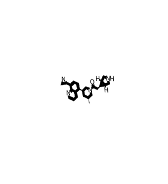 C[C@@H]1C[C@@H](c2ccc(C3C=N3)c3ncccc23)CN(C(=O)C[C@H]2[C@@H]3CNC[C@@H]32)C1